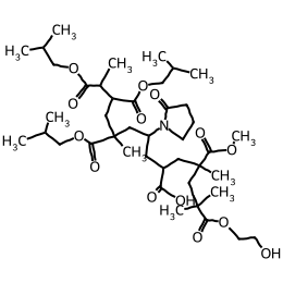 COC(=O)C(C)(CC(CC(CC(C)(CC(C(=O)OCC(C)C)C(C)C(=O)OCC(C)C)C(=O)OCC(C)C)N1CCCC1=O)C(=O)O)CC(C)(C)C(=O)OCCO